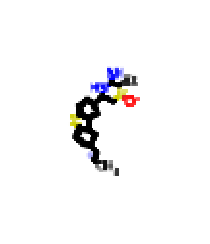 C/C=C/c1ccc2sc3ccc(C4C[S+]([O-])C(CC)C(=N)N4)cc3c2c1